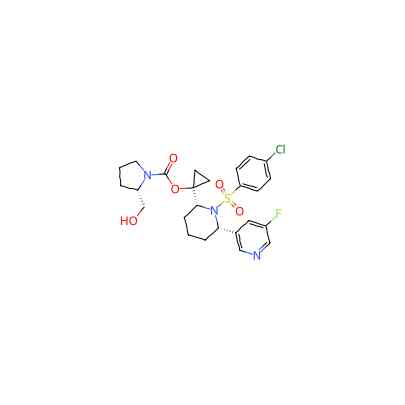 O=C(OC1([C@H]2CCC[C@@H](c3cncc(F)c3)N2S(=O)(=O)c2ccc(Cl)cc2)CC1)N1CCC[C@H]1CO